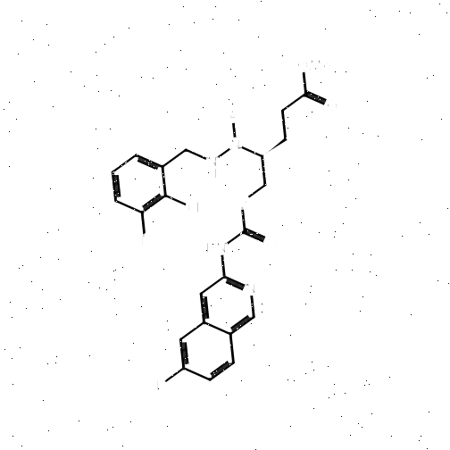 COC(=O)CC[C@@H](COC(=O)Nc1cc2cc(F)ccc2cn1)N(NCc1cccc(F)c1Cl)C(C)=O